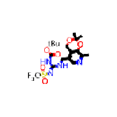 Cc1ncc(CN/C(=N/S(=O)(=O)C(F)(F)F)NC(=O)OC(C)(C)C)c2c1OC(C)(C)OC2